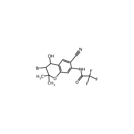 CC1(C)Oc2cc(NC(=O)C(F)(F)F)c(C#N)cc2C(O)C1Br